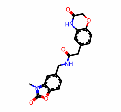 Cn1c(=O)oc2ccc(CNC(=O)Cc3ccc4c(c3)NC(=O)CO4)cc21